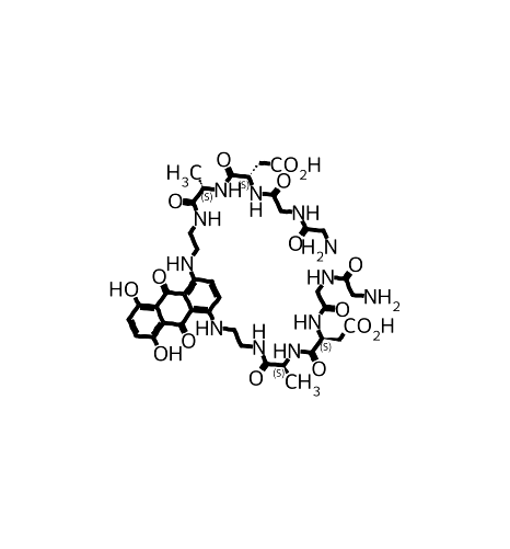 C[C@H](NC(=O)[C@H](CC(=O)O)NC(=O)CNC(=O)CN)C(=O)NCCNc1ccc(NCCNC(=O)[C@H](C)NC(=O)[C@H](CC(=O)O)NC(=O)CNC(=O)CN)c2c1C(=O)c1c(O)ccc(O)c1C2=O